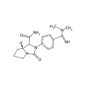 CN(C)C(=N)c1ccc(N2C(=O)N3CC[CH][C@@H]3C2C(N)=O)cc1